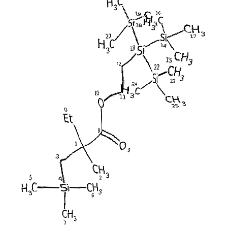 CCC(C)(C[Si](C)(C)C)C(=O)OCC[Si]([Si](C)(C)C)([Si](C)(C)C)[Si](C)(C)C